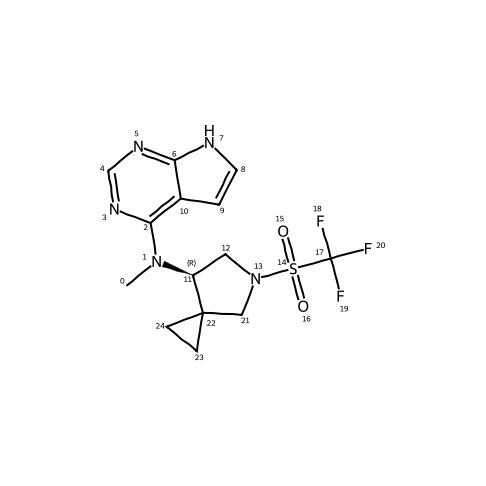 CN(c1ncnc2[nH]ccc12)[C@H]1CN(S(=O)(=O)C(F)(F)F)CC12CC2